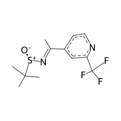 CC(=N[S@+]([O-])C(C)(C)C)c1ccnc(C(F)(F)F)c1